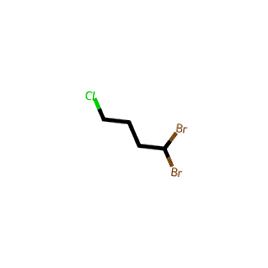 ClCCCC(Br)Br